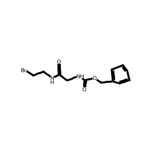 O=C(CNC(=O)OCc1ccccc1)NCCBr